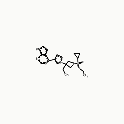 N#CCC1(n2cc(-c3ncnc4[nH]ccc34)cn2)CN(S(=O)(=NCC(F)(F)F)C2CC2)C1